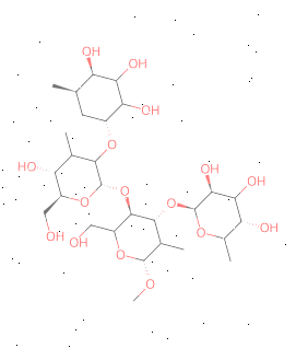 CO[C@@H]1OC(CO)[C@@H](O[C@@H]2O[C@@H](CO)[C@H](O)C(C)C2O[C@@H]2C[C@@H](C)[C@@H](O)C(O)C2O)[C@H](O[C@@H]2OC(C)[C@@H](O)C(O)[C@@H]2O)C1C